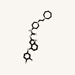 O=C(NC1CCN(CCN2CCCCCC2)CC1)Oc1cc2c(Oc3ccc(F)c(F)c3)cccc2[nH]1